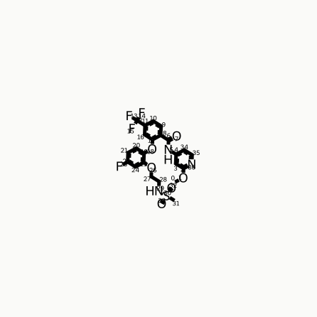 COc1cc(NC(=O)c2ccc(C(F)(F)F)cc2Oc2ccc(F)cc2OCCNS(C)(=O)=O)ccn1